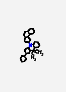 CC1(C)c2ccccc2N(c2ccc3ccc4ccccc4c3c2)c2ccc(-c3ccccc3)cc21